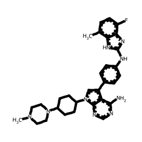 Cc1ccc(F)c2nc(Nc3ccc(-c4cn(C5CCC(N6CCN(C)CC6)CC5)c5ncnc(N)c45)cc3)[nH]c12